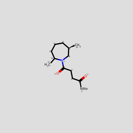 CNC(=O)CCC(=O)N1C[C@H](C)CCCC1C